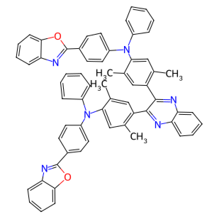 Cc1cc(N(c2ccccc2)c2ccc(-c3nc4ccccc4o3)cc2)c(C)cc1-c1nc2ccccc2nc1-c1cc(C)c(N(c2ccccc2)c2ccc(-c3nc4ccccc4o3)cc2)cc1C